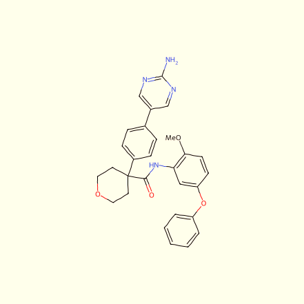 COc1ccc(Oc2ccccc2)cc1NC(=O)C1(c2ccc(-c3cnc(N)nc3)cc2)CCOCC1